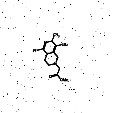 COC(=O)CN1CCN2C(C(C)C)=N[C@@H](C)C(C(C)(C)C)=C2C1